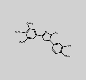 COc1ccc(C2CC(c3cc(OC)c(OC)c(OC)c3)=NN2C(C)=O)cc1C(C)C